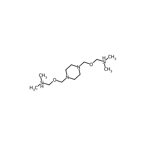 C[SiH](C)COCN1CCN(COC[SiH](C)C)CC1